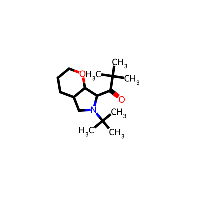 CC(C)(C)C(=O)C1C2OCCCC2CN1C(C)(C)C